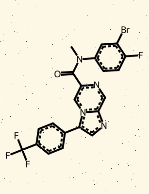 CN(C(=O)c1cn2c(-c3ccc(C(F)(F)F)cc3)cnc2cn1)c1ccc(F)c(Br)c1